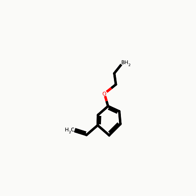 BCCOc1cccc(C=C)c1